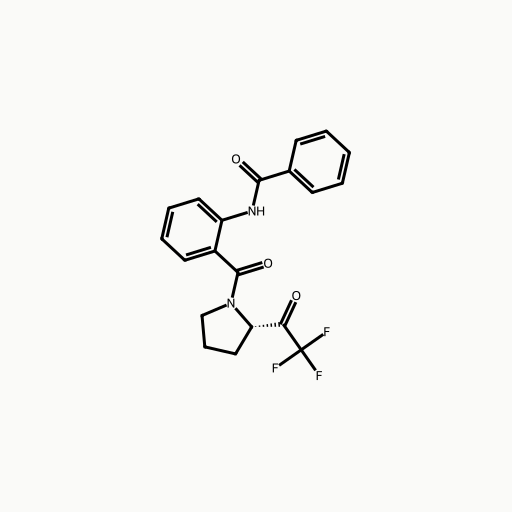 O=C(Nc1ccccc1C(=O)N1CCC[C@H]1C(=O)C(F)(F)F)c1ccccc1